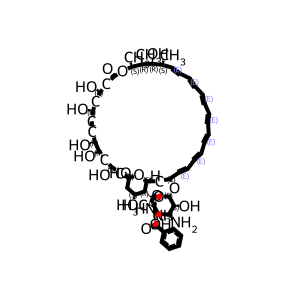 C[C@@H]1[C@H](O)[C@@H](C)/C=C/C=C/C=C/C=C/C=C/C=C/C=C/[C@H](O[C@H]2O[C@@H](C)[C@@H](O)[C@H](N)[C@@H]2O)C[C@@H]2O[C@](O)(C[C@@H](O)C[C@@H](O)[C@H](O)CC[C@@H](O)C[C@@H](O)CC(=O)O[C@H]1C)C[C@H](O)[C@H]2C(=O)NNC(=O)c1ccccc1